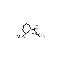 CBC(=O)N1CCCCC(NC)C1